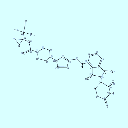 O=C1CCC(N2C(=O)c3cccc(NCc4cnn(C5CCN(C(=O)OC6(C(F)(F)F)CC6)CC5)c4)c3C2=O)C(=O)N1